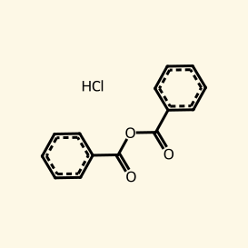 Cl.O=C(OC(=O)c1ccccc1)c1ccccc1